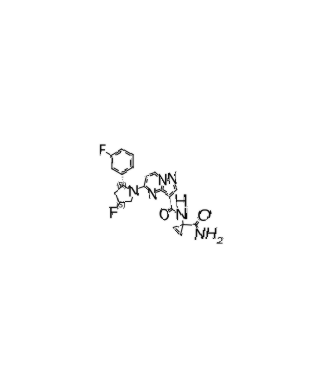 NC(=O)C1(NC(=O)c2cnn3ccc(N4C[C@@H](F)C[C@@H]4c4cccc(F)c4)nc23)C=C1